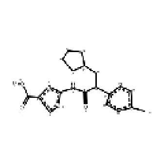 COC(=O)c1csc(NC(=O)C(CC2CCCC2)c2ccc(I)cc2)n1